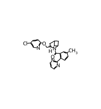 Cc1ccc(-c2ncccn2)c(C(=O)N2C3CC(C3)C[C@@H]2COc2ccc(Cl)cn2)c1